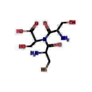 NC(CO)C(=O)N(C(=O)C(N)CS)C(CO)C(=O)O